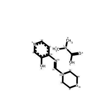 CN(C)C(=O)O.Oc1cnccc1N=CN1CCSCC1